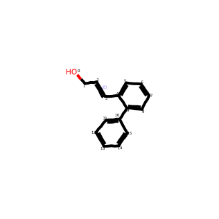 OC/C=C/c1ccccc1-c1ccccc1